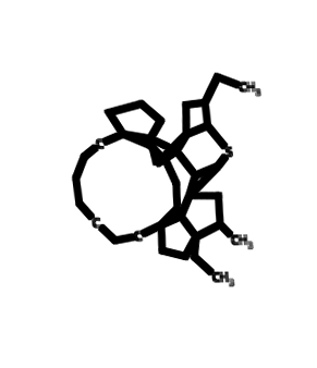 CCC1CC23C1SC1C4C15CC(C)C1(CC)CCC6(CCCCCCCC7(CCCC6)CCCC76C2C436)C15